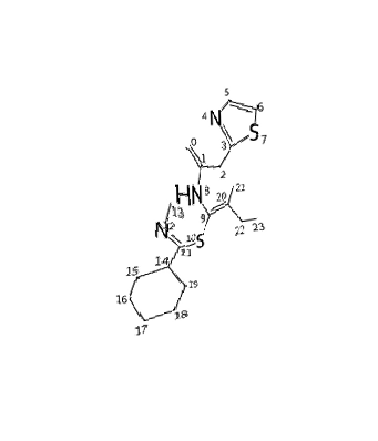 C=C(Cc1nccs1)N/C(S/C(=N\C)C1CCCCC1)=C(\C)CC